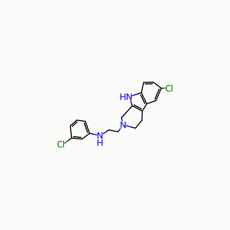 Clc1cccc(NCCN2CCc3c([nH]c4ccc(Cl)cc34)C2)c1